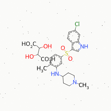 Cc1ccc(S(=O)(=O)c2c[nH]c3cc(Cl)ccc23)cc1NC1CCN(C)CC1.O=C(O)C(O)C(O)C(=O)O